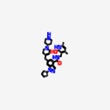 CC1=CC(C)=C(CNC(=O)c2cc(CC3=CCN(C4CCNCC4)CC3)cc3c2cnn3C2CCCC2)C(O)N1